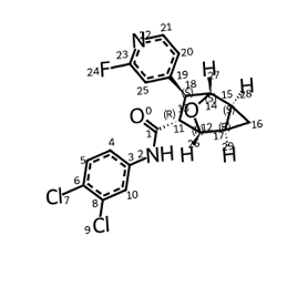 O=C(Nc1ccc(Cl)c(Cl)c1)[C@H]1[C@@H]2O[C@@H]([C@H]3C[C@H]32)[C@@H]1c1ccnc(F)c1